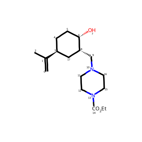 C=C(C)[C@H]1CC[C@H](O)[C@H](CN2CCN(C(=O)OCC)CC2)C1